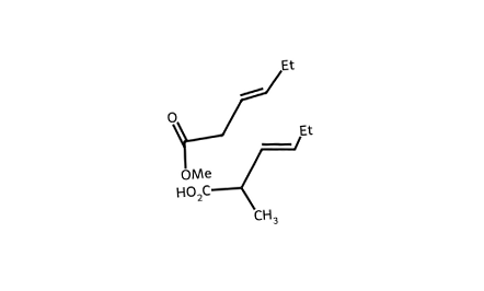 CCC=CC(C)C(=O)O.CCC=CCC(=O)OC